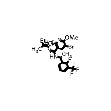 CC/C(C)=C(C)/N=C(/N[C@H](C)c1cccc(C(F)(F)I)c1F)c1cc(Br)c(OC)nc1C